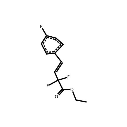 CCOC(=O)C(F)(F)/C=C/c1ccc(F)cc1